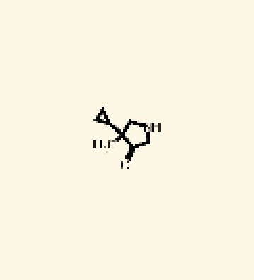 CC1(C2CC2)CNCC1=O